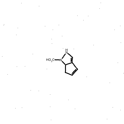 O=C(O)N1NC=C2C=CCC21